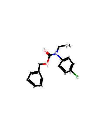 CCN(C(=O)OCc1ccccc1)c1ccc(Br)cc1